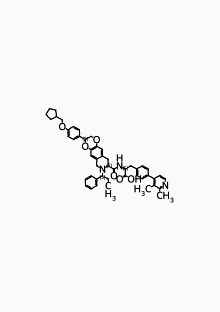 CC[C@@H](c1ccccc1)N1Cc2cc3c(cc2C[C@H]1C(=O)N[C@@H](Cc1ccc(-c2ccnc(C)c2C)cc1)C(=O)O)OC[C@H](c1ccc(OCC2CCCC2)cc1)O3